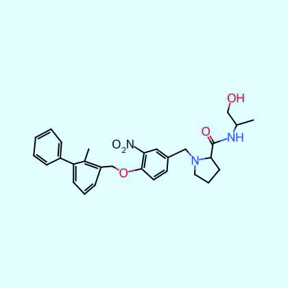 Cc1c(COc2ccc(CN3CCCC3C(=O)NC(C)CO)cc2[N+](=O)[O-])cccc1-c1ccccc1